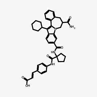 NC(=O)C1Cc2ccccc2-c2c(C3CCCCC3)c3ccc(C(=O)NC4(C(=O)Nc5ccc(/C=C/C(=O)O)cc5)CCCC4)cc3n2C1